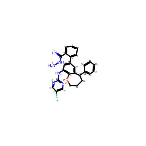 N=C(NN)c1ccccc1-c1cc(Nc2ncc(F)cn2)c2c(c1)C(c1ccccc1)CCCO2